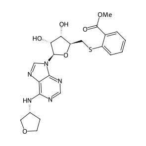 COC(=O)c1ccccc1SC[C@H]1O[C@@H](n2cnc3c(N[C@@H]4CCOC4)ncnc32)[C@H](O)[C@@H]1O